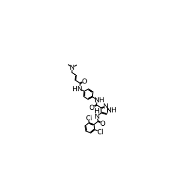 CN(C)CC=CC(=O)Nc1ccc(NC(=O)c2n[nH]cc2NC(=O)c2c(Cl)cccc2Cl)cc1